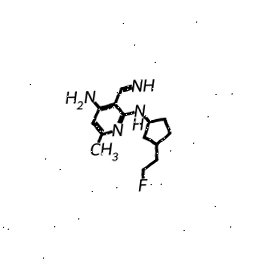 Cc1cc(N)c(C=N)c(NC2CCC(CCF)C2)n1